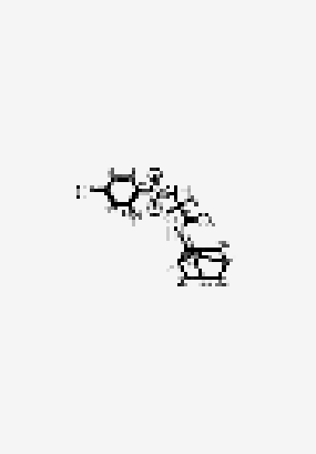 CC(C)(NS(=O)(=O)c1ccc(Cl)cc1F)C(=O)NC1C2CC3CC(C2)CC1C3